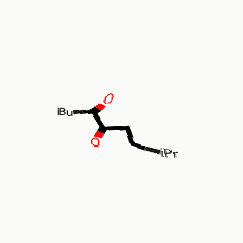 CCC(C)C(=O)C(=O)CCC(C)C